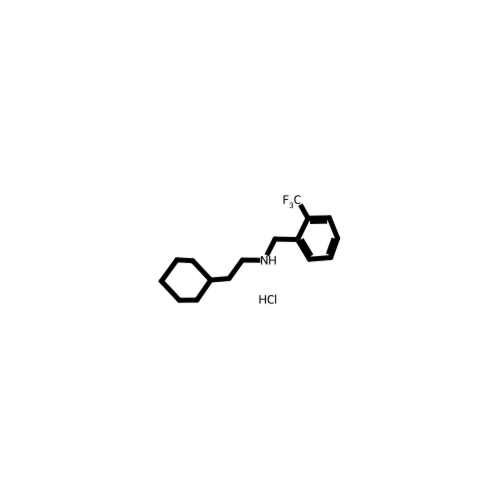 Cl.FC(F)(F)c1ccccc1CNCCC1CCCCC1